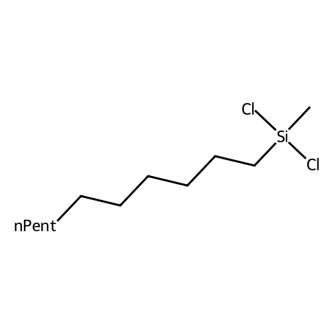 CCCCCCCCCCC[Si](C)(Cl)Cl